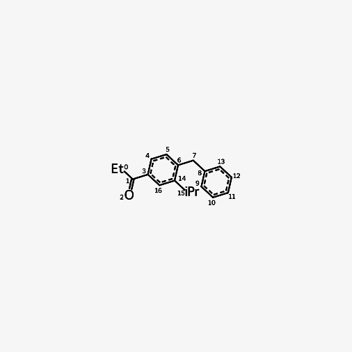 CCC(=O)c1ccc(Cc2ccccc2)c(C(C)C)c1